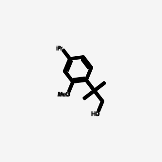 COc1cc(C(C)C)ccc1C(C)(C)CO